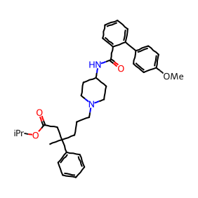 COc1ccc(-c2ccccc2C(=O)NC2CCN(CCCC(C)(CC(=O)OC(C)C)c3ccccc3)CC2)cc1